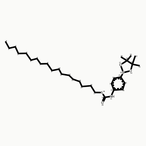 CCCCCCCCCCCCCCCCCCSC(=O)Nc1ccc(B2OC(C)(C)C(C)(C)O2)cc1